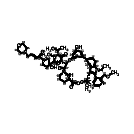 CCn1c(-c2cccnc2COC)c2c3cc(ccc31)-c1cc(O)cc(c1)C[C@H](NC(=O)[C@H](C(C)C)N(C)C(=O)[C@@]1(O)CCN(C(=O)/C=C/CN3CCOCC3)C1)C(=O)N1CCC[C@H](N1)C(=O)OCC(C)(C)C2